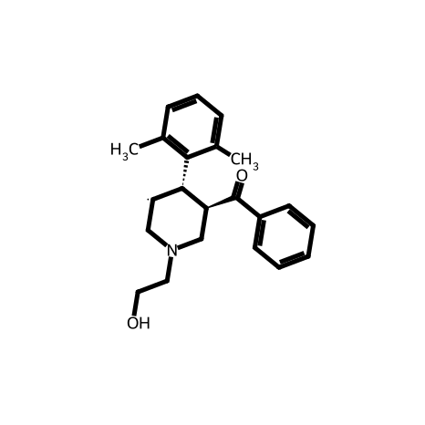 Cc1cccc(C)c1[C@H]1[CH]CN(CCO)C[C@@H]1C(=O)c1ccccc1